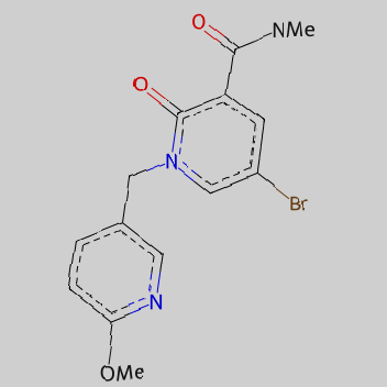 CNC(=O)c1cc(Br)cn(Cc2ccc(OC)nc2)c1=O